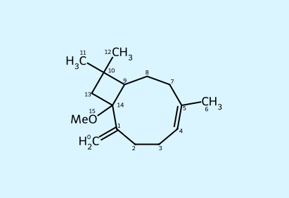 C=C1CCC=C(C)CCC2C(C)(C)CC12OC